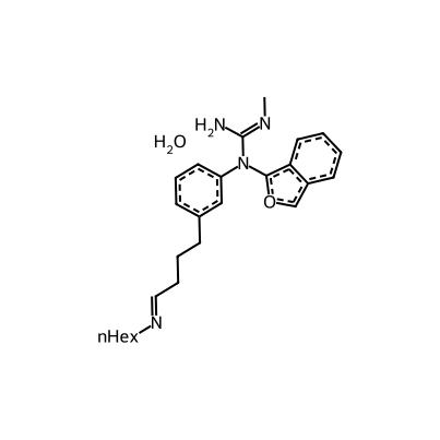 CCCCCCN=CCCCc1cccc(N(C(N)=NC)c2occ3ccccc23)c1.O